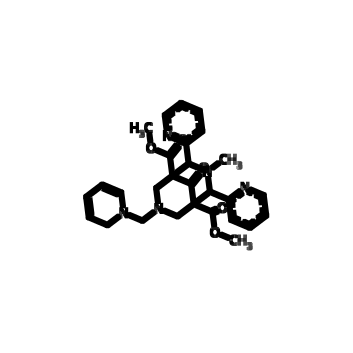 COC(=O)C12CN(CN3C=CC=CC3)CC(C(=O)OC)(C1=O)C(c1ccccn1)N(C)C2c1ccccn1